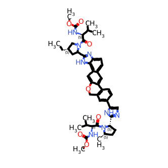 CC[C@H]1CC(c2nc3ccc4cc5c(cc4c3[nH]2)OCc2cc(-c3cnc([C@@H]4CC[C@H](C)N4C(=O)[C@@H](NC(=O)OC)C(C)C)[nH]3)ccc2-5)N(C(=O)[C@@H](NC(=O)OC)C(C)C)C1